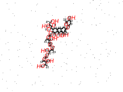 CO[C@H](C(=O)[C@@H](O)[C@@H](C)O)C1Cc2cc3cc(O[C@H]4CC[C@H](O)C(C)O4)c(C)c(O)c3c(O)c2C(=O)[C@H]1OCOC(C)[C@@H](O)COCOC(C)[C@H](O)COCOC(C)[C@@H](O)C(C)O